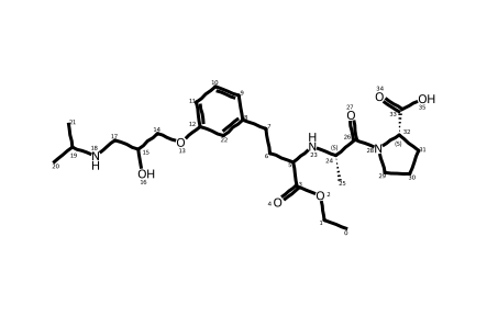 CCOC(=O)C(CCc1cccc(OCC(O)CNC(C)C)c1)N[C@@H](C)C(=O)N1CCC[C@H]1C(=O)O